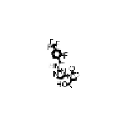 C[C@H](Nc1nccc(N2C(=O)OCC2[C@@H](C)O)n1)c1ccc(C(F)(F)F)cc1F